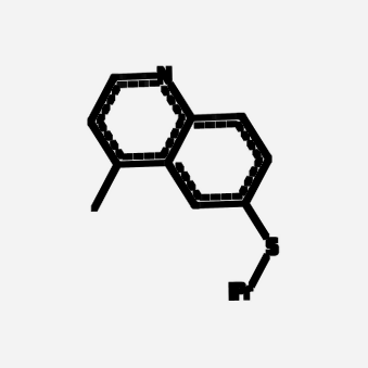 Cc1ccnc2ccc(SC(C)C)cc12